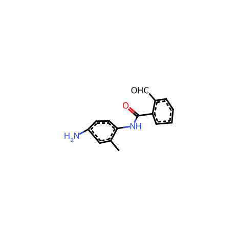 Cc1cc(N)ccc1NC(=O)c1ccccc1C=O